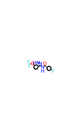 O=C(Nc1n[nH]c2c(OC(F)F)cccc12)c1ccc(F)cc1